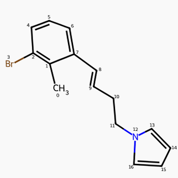 Cc1c(Br)cccc1C=CCCn1cccc1